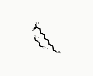 CCCCCCCCCC(=O)O.CCOCC